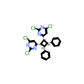 Clc1cc([C@@H]2[C@H](c3ccccc3)[C@H](c3ccccc3)[C@@H]2c2cc(Cl)nc(Cl)n2)nc(Cl)n1